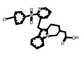 O=C(O)CC1CCc2c(Cc3cccnc3S(=O)(=O)c3ccc(Cl)cc3)c3ccccc3n2C1